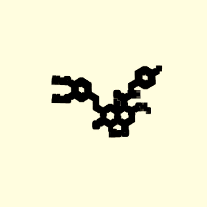 CCC(C)[C@H]1C(=O)N(CCc2ccc(OC)c(OC)c2)C[C@H]2N1C(=O)CN(C)N2C(=O)NCc1ccc(F)cc1